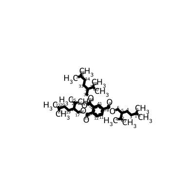 CC(C)CCC(COC(=O)c1ccc(C(=O)OCC(CCC(C)C)C(C)C)c(C(=O)OCC(CCC(C)C)C(C)C)c1)C(C)C